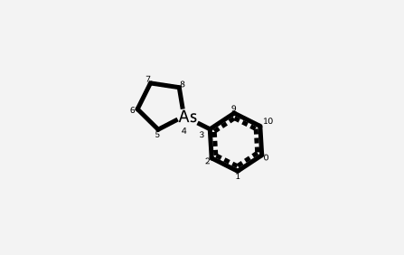 c1ccc([As]2CCCC2)cc1